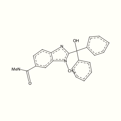 CNC(=O)c1ccc2nc(C(O)(c3ccccc3)c3ccccc3)n(C)c2c1